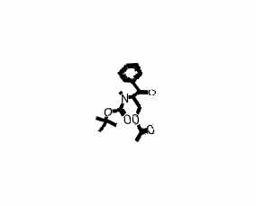 CC(=O)OCC(C(=O)c1ccccc1)N(C)C(=O)OC(C)(C)C